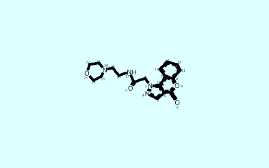 O=C(Cn1ncc2c(=O)oc3ccccc3c21)NCCN1CCOCC1